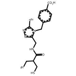 CCCc1nnc(CNC(=O)C(CS)CC(C)C)n1Cc1ccc(C(=O)O)cc1